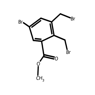 COC(=O)c1cc(Br)cc(CBr)c1CBr